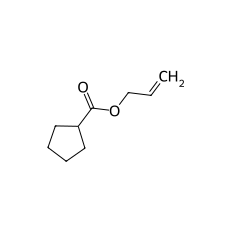 C=CCOC(=O)C1CCCC1